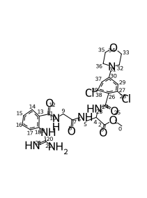 COC(=O)C(CNC(=O)CNC(=O)c1ccccc1NC(=N)N)NC(=O)c1c(Cl)cc(N2CCOCC2)cc1Cl